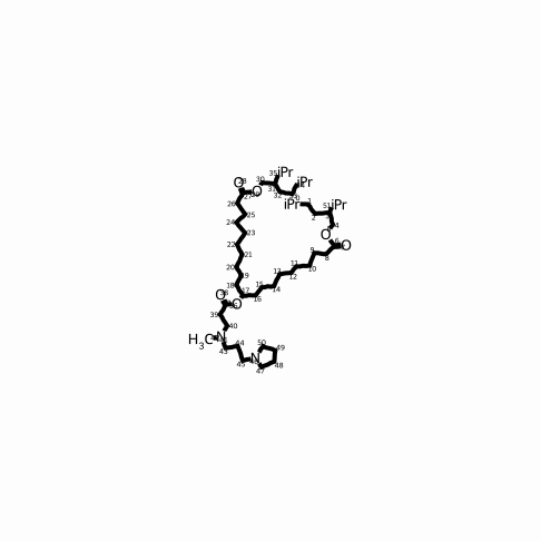 CC(C)CCC(COC(=O)CCCCCCCCCC(CCCCCCCCCC(=O)OCC(CCC(C)C)C(C)C)OC(=O)CCN(C)CCCN1CCCC1)C(C)C